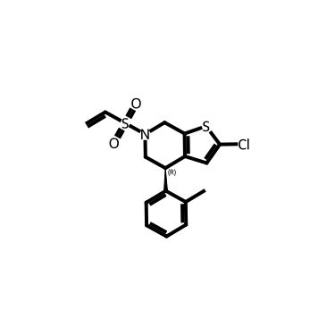 C=CS(=O)(=O)N1Cc2sc(Cl)cc2[C@@H](c2ccccc2C)C1